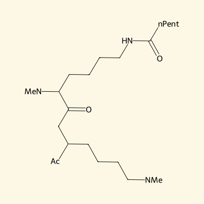 CCCCCC(=O)NCCCCC(NC)C(=O)CC(CCCCNC)C(C)=O